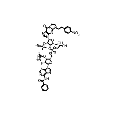 CC(C)(C)[Si](C)(C)O[C@@H]1[C@H](OP(=S)(OCCC#N)OC[C@H]2O[C@@H](n3cnc4c(NC(=O)c5ccccc5)ncnc43)[C@H](F)[C@@H]2O[PH](=O)O)[C@@H](CO)O[C@H]1n1cnc2c(=O)n3ccn(CCc4ccc([N+](=O)[O-])cc4)c3nc21